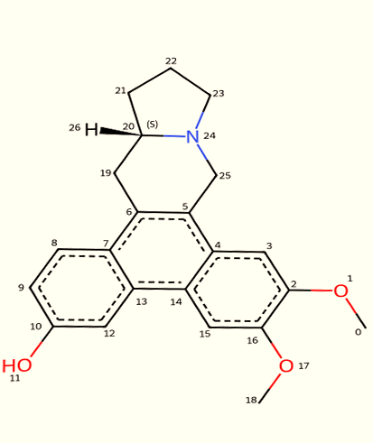 COc1cc2c3c(c4ccc(O)cc4c2cc1OC)C[C@@H]1CCCN1C3